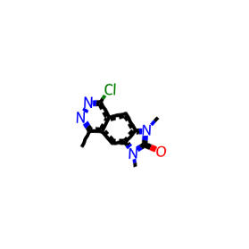 Cc1nnc(Cl)c2cc3c(cc12)n(C)c(=O)n3C